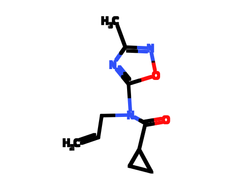 C=CCN(C(=O)C1CC1)c1nc(C)no1